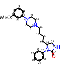 COc1cccc(N2CCN(CCCCC3CNC(=O)N3c3ccccc3)CC2)c1